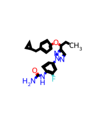 CCC(Oc1ccc(CC2CC2)cc1)c1cnn(-c2ccc(NC(N)=O)c(F)c2)n1